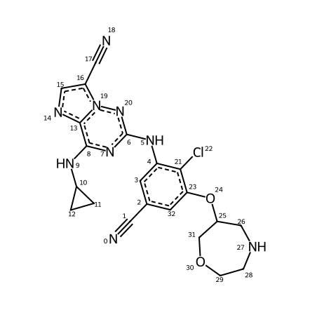 N#Cc1cc(Nc2nc(NC3CC3)c3ncc(C#N)n3n2)c(Cl)c(OC2CNCCOC2)c1